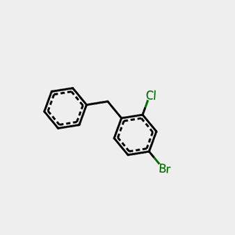 Clc1cc(Br)ccc1Cc1ccccc1